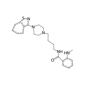 CNc1ccccc1C(=O)NCCCCN1CCN(c2nsc3ccccc23)CC1